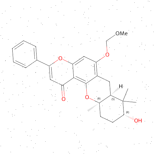 COCOc1cc2oc(-c3ccccc3)cc(=O)c2c2c1C[C@H]1C(C)(C)[C@H](O)CC[C@@]1(C)O2